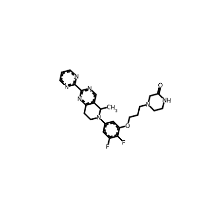 CC1c2cnc(-c3ncccn3)nc2CCN1c1cc(F)c(F)c(OCCCN2CCNC(=O)C2)c1